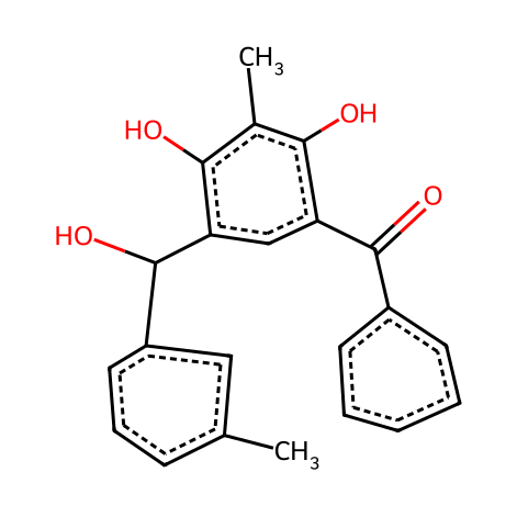 Cc1cccc(C(O)c2cc(C(=O)c3ccccc3)c(O)c(C)c2O)c1